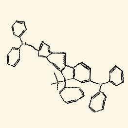 C[Si](C)(C)C1(c2ccccc2)c2cc(N(c3ccccc3)c3ccccc3)ccc2-c2cc3ccc(N(c4ccccc4)c4ccccc4)cc3cc21